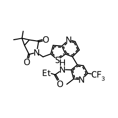 CCC(=O)Nc1c(-c2ccnc3cc(CN4C(=O)C5C(C4=O)C5(C)C)sc23)cc(C(F)(F)F)nc1C